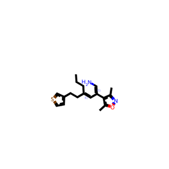 CCC/C(=C\C(=C/N)c1c(C)noc1C)CCc1ccsc1